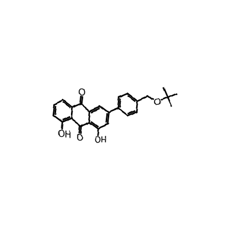 CC(C)(C)OCc1ccc(-c2cc(O)c3c(c2)C(=O)c2cccc(O)c2C3=O)cc1